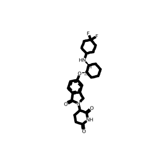 O=C1CCC(N2Cc3cc(O[C@H]4CCCC[C@@H]4NC4CCC(F)(F)CC4)ccc3C2=O)C(=O)N1